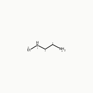 CCBCCN